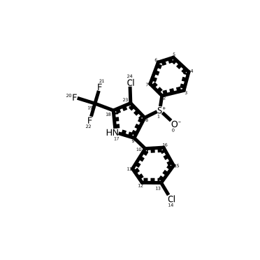 [O-][S+](c1ccccc1)c1c(-c2ccc(Cl)cc2)[nH]c(C(F)(F)F)c1Cl